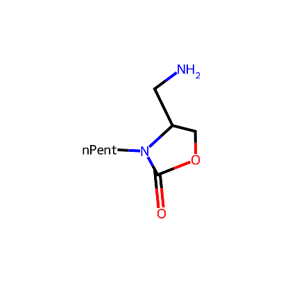 CCCCCN1C(=O)OCC1CN